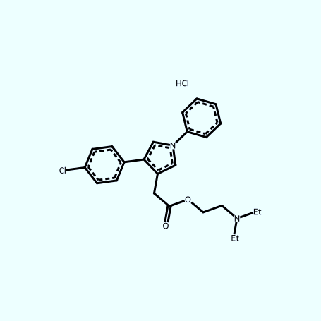 CCN(CC)CCOC(=O)Cc1cn(-c2ccccc2)cc1-c1ccc(Cl)cc1.Cl